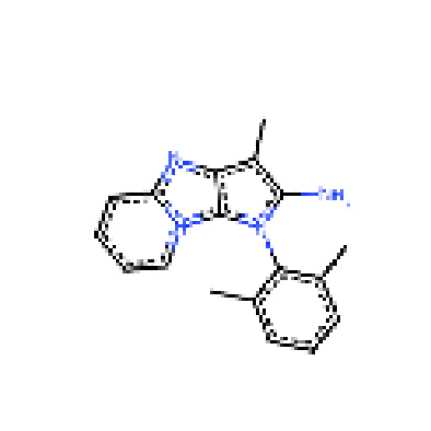 Cc1cccc(C)c1-n1c(N)c(C)c2nc3ccccn3c21